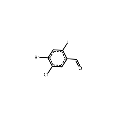 O=Cc1cc(Cl)c(Br)cc1I